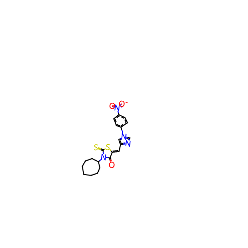 O=C1C(=Cc2cn(-c3ccc([N+](=O)[O-])cc3)cn2)SC(=S)N1C1CCCCCCC1